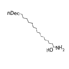 CCCCCCCCCCCCCCCCCCCCCCCCCC(N)O